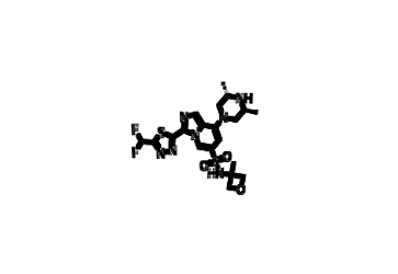 C[C@H]1CN(c2cc(S(=O)(=O)NC3(C)COC3)cn3c(-c4nnc(C(F)F)s4)ncc23)C[C@H](C)N1